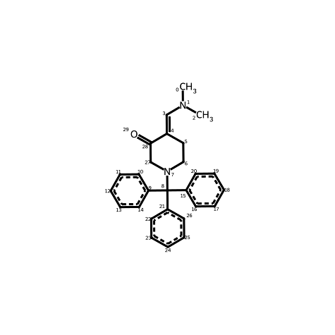 CN(C)C=C1CCN(C(c2ccccc2)(c2ccccc2)c2ccccc2)CC1=O